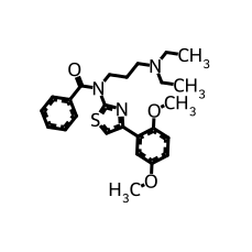 CCN(CC)CCCN(C(=O)c1ccccc1)c1nc(-c2cc(OC)ccc2OC)cs1